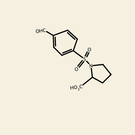 O=Cc1ccc(S(=O)(=O)N2CCCC2C(=O)O)cc1